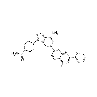 Cc1cc(-c2ccccn2)nc2cc(-c3cn4c(C5CCC(C(N)=O)CC5)ncc4c(N)n3)ccc12